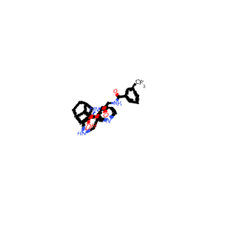 O=C(CNC(=O)c1cccc(C(F)(F)F)c1)N[C@@]1(C2C3CCC2CC(O)(c2cccnc2)C3)CCNC1